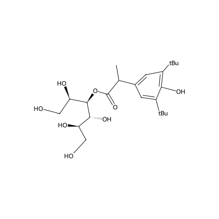 CC(C(=O)O[C@@H]([C@H](O)[C@H](O)CO)[C@H](O)CO)c1cc(C(C)(C)C)c(O)c(C(C)(C)C)c1